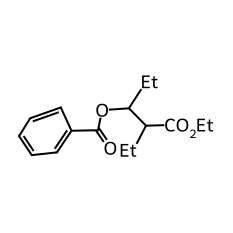 CCOC(=O)C(CC)C(CC)OC(=O)c1ccccc1